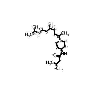 CC(C)CC(=O)NC1CCN(C(C)CC[C@H](C)CCNC(C)C)CC1